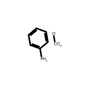 ClC(Cl)(Cl)Cl.Pc1ccccc1